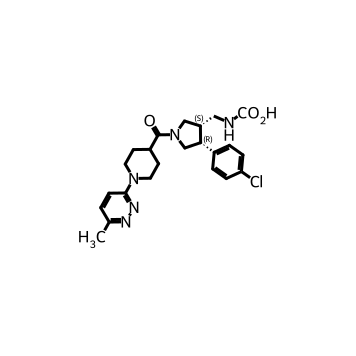 Cc1ccc(N2CCC(C(=O)N3C[C@H](CNC(=O)O)[C@H](c4ccc(Cl)cc4)C3)CC2)nn1